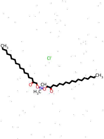 CCCCCCCCCCCCCCCC(=O)CO[N+](C)(C)OCC(=O)CCCCCCCCCCCCCCC.[Cl-]